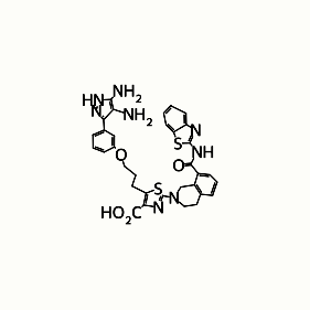 Nc1[nH]nc(-c2cccc(OCCCc3sc(N4CCc5cccc(C(=O)Nc6nc7ccccc7s6)c5C4)nc3C(=O)O)c2)c1N